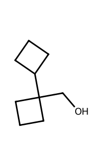 OCC1(C2CCC2)CCC1